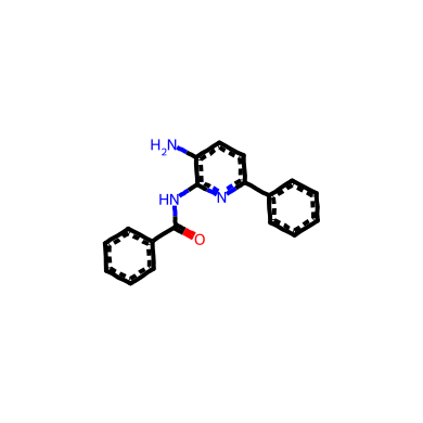 Nc1ccc(-c2ccccc2)nc1NC(=O)c1ccccc1